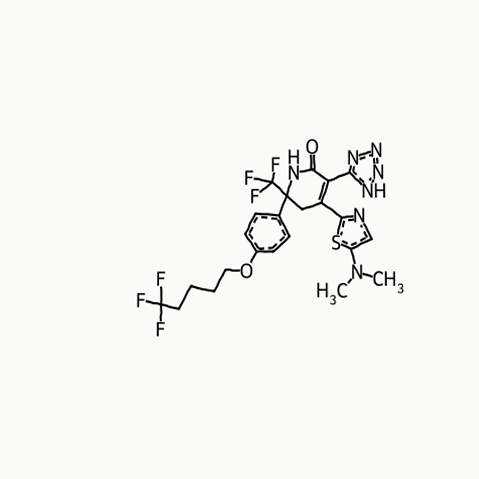 CN(C)c1cnc(C2=C(c3nnn[nH]3)C(=O)NC(c3ccc(OCCCCC(F)(F)F)cc3)(C(F)(F)F)C2)s1